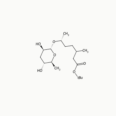 CC(CC[C@@H](C)O[C@@H]1O[C@@H](C)[C@H](O)C[C@H]1O)CC(=O)OC(C)(C)C